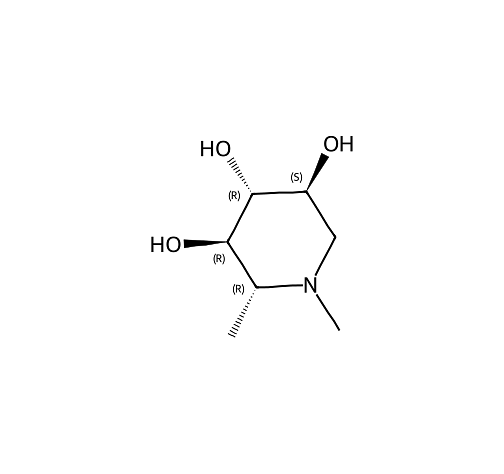 C[C@@H]1[C@@H](O)[C@H](O)[C@@H](O)CN1C